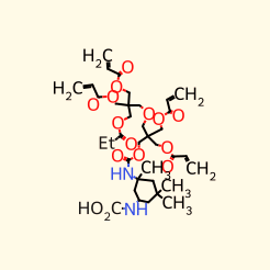 C=CC(=O)OCC(COCC(COC(=O)C=C)(COC(=O)C=C)COC(=O)NC1(C)CC(NC(=O)O)CC(C)(C)C1)(COC(=O)C=C)COC(=O)CC